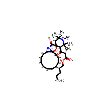 CCCCCCCCCCCCCCOC(=O)CC(=O)C1C2(CC(C)(C)N(C(C)=O)C1(C)C)OC1(CCCCCCCCCCC1)NC2=O